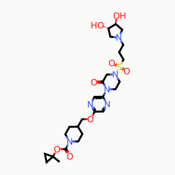 CC1(OC(=O)N2CCC(COc3cnc(N4CCN(S(=O)(=O)CCCN5C[C@H](O)[C@@H](O)C5)CC4=O)cn3)CC2)CC1